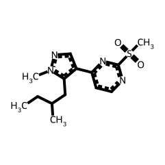 CCC(C)Cc1c(-c2ccnc(S(C)(=O)=O)n2)cnn1C